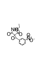 CCOC(=O)C1(C(N)=O)OC1c1cccc([N+](=O)[O-])c1